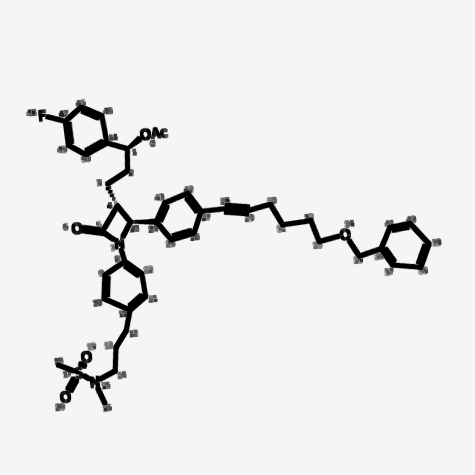 CC(=O)O[C@@H](CC[C@H]1C(=O)N(c2ccc(CCCN(C)S(C)(=O)=O)cc2)[C@@H]1c1ccc(C#CCCCCOCc2ccccc2)cc1)c1ccc(F)cc1